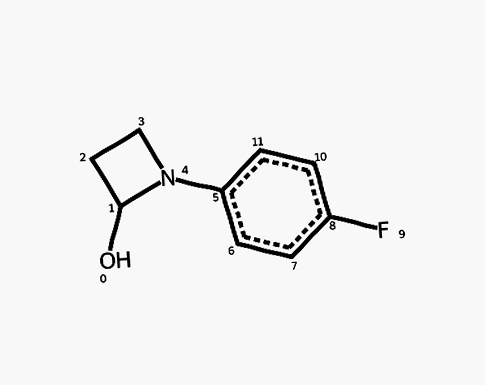 OC1CCN1c1ccc(F)cc1